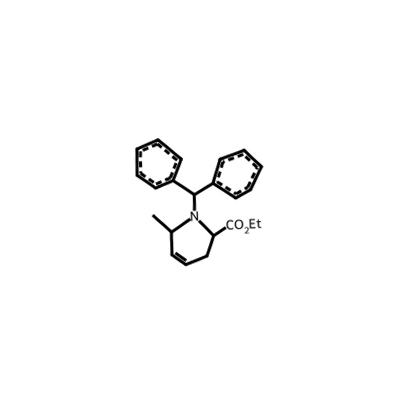 CCOC(=O)C1CC=CC(C)N1C(c1ccccc1)c1ccccc1